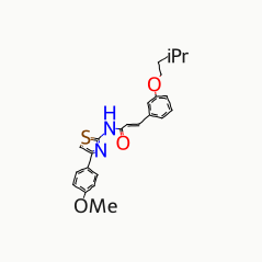 COc1ccc(-c2csc(NC(=O)/C=C/c3cccc(OCCC(C)C)c3)n2)cc1